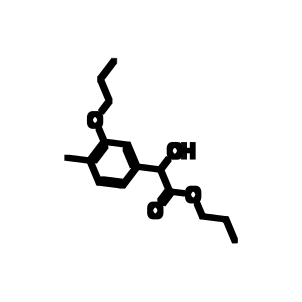 CCCOC(=O)C(O)c1ccc(C)c(OCCC)c1